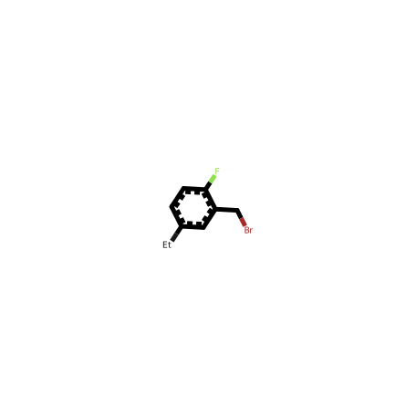 CCc1ccc(F)c(CBr)c1